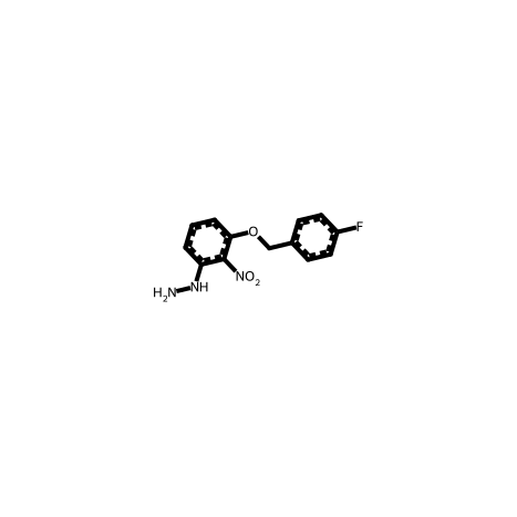 NNc1cccc(OCc2ccc(F)cc2)c1[N+](=O)[O-]